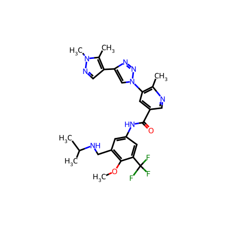 COc1c(CNC(C)C)cc(NC(=O)c2cnc(C)c(-n3cc(-c4cnn(C)c4C)nn3)c2)cc1C(F)(F)F